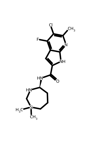 Cc1nc2[nH]c(C(=O)N[C@H]3CCC[Si](C)(C)CN3)cc2c(F)c1Cl